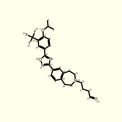 CC(C)Oc1ccc(-c2nc(-c3ccc4c(c3)CCN(CCCC=O)CC4)no2)cc1C(F)(F)F